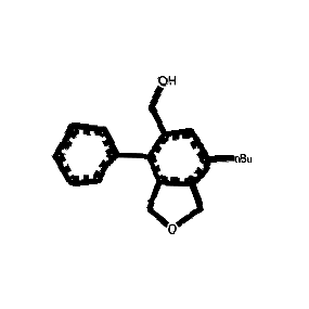 CCCCc1cc(CO)c(-c2ccccc2)c2c1COC2